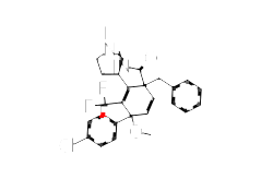 CNC(=O)C1(Cc2ccccc2)C=CC(OC)(c2ccc(Cl)cc2)C(C(F)(F)F)=C1C1CCNC1